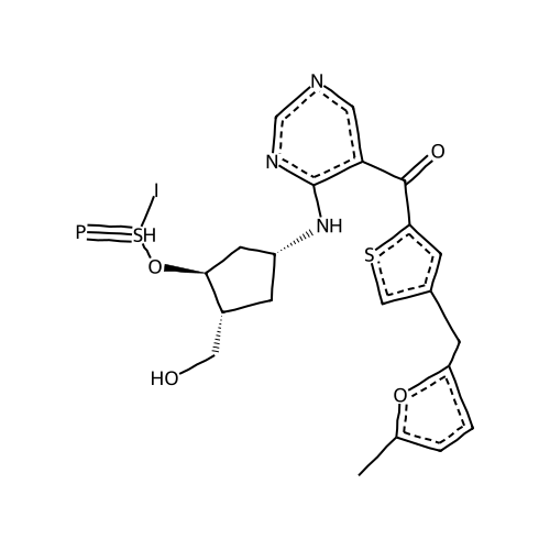 Cc1ccc(Cc2csc(C(=O)c3cncnc3N[C@@H]3C[C@H](CO)[C@@H](O[SH](#P)I)C3)c2)o1